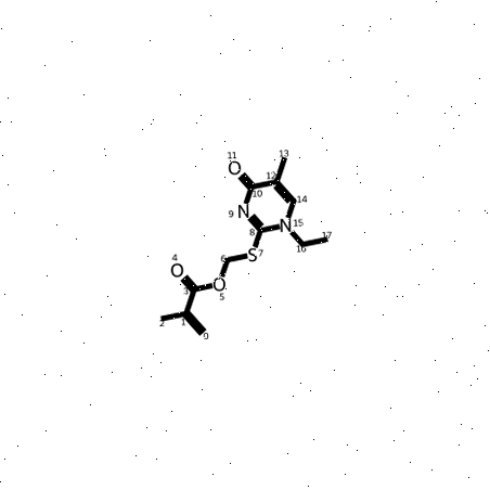 C=C(C)C(=O)OCSc1nc(=O)c(C)cn1CC